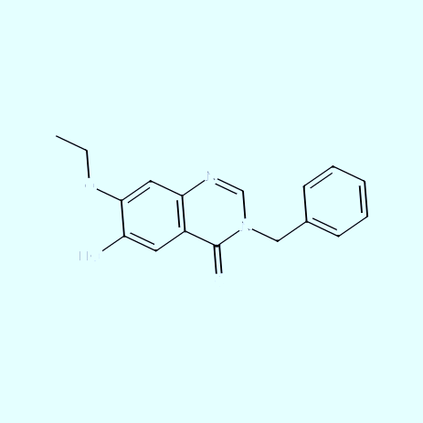 CCOc1cc2ncn(Cc3ccccc3)c(=O)c2cc1O